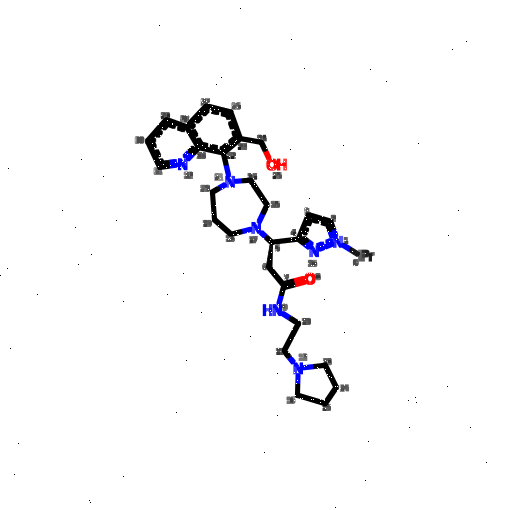 CC(C)n1ccc([C@@H](CC(=O)NCCN2CCCC2)N2CCCN(c3c(CO)ccc4cccnc34)CC2)n1